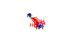 CCCC(=O)N[C@H]1C(O)O[C@H](COC(=O)OCCSSc2ccccn2)[C@@H](O)[C@@H]1O